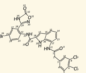 O=C(Cc1ccc(Cl)c(Cl)c1)Nc1cccc2cc(C(=O)Nc3ccc(Br)cc3-c3noc(=O)[nH]3)[nH]c12